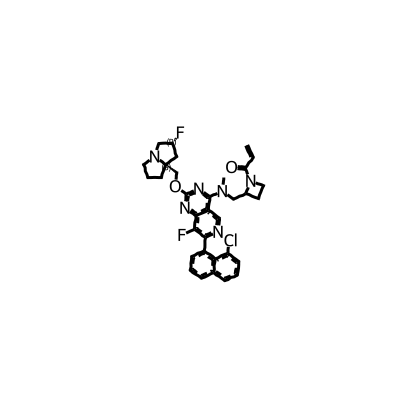 C=CC(=O)N1CCC1CN(C)c1nc(OC[C@@]23CCCN2C[C@H](F)C3)nc2c(F)c(-c3cccc4cccc(Cl)c34)ncc12